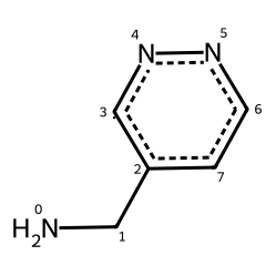 NCc1[c]nncc1